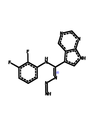 N=N/N=C(\Nc1cccc(F)c1F)c1c[nH]c2ncncc12